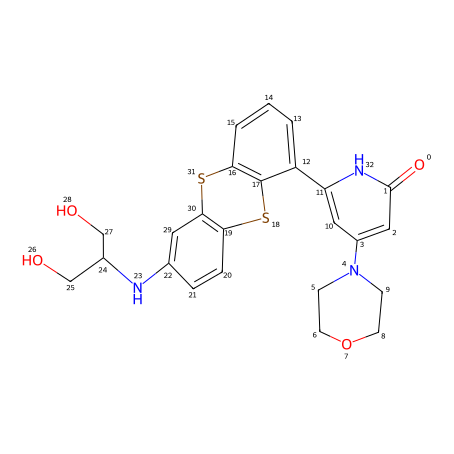 O=c1cc(N2CCOCC2)cc(-c2cccc3c2Sc2ccc(NC(CO)CO)cc2S3)[nH]1